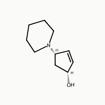 O[C@H]1C=C[C@@H](N2CCCCC2)C1